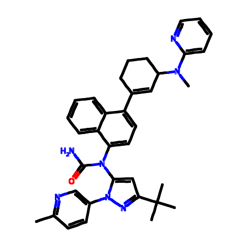 Cc1ccc(-n2nc(C(C)(C)C)cc2N(C(N)=O)c2ccc(C3=CC(N(C)c4ccccn4)CCC3)c3ccccc23)cn1